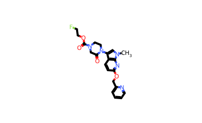 Cn1cc(N2CCN(C(=O)OCCF)CC2=O)c2ccc(OCc3ccccn3)nc21